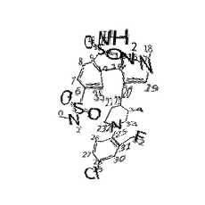 CN(C)S(=O)(=O)c1ccc(S(N)(=O)=O)c(-c2nn(C)cc2C2CCN(c3ccc(Cl)cc3F)CC2)c1